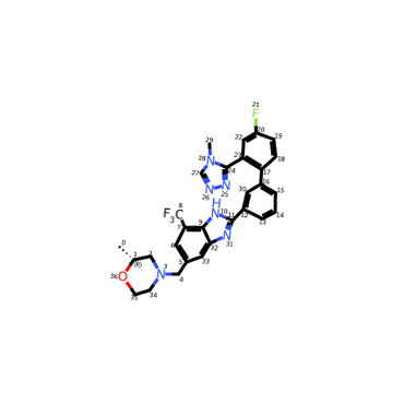 C[C@@H]1CN(Cc2cc(C(F)(F)F)c3[nH]c(-c4cccc(-c5ccc(F)cc5-c5nncn5C)c4)nc3c2)CCO1